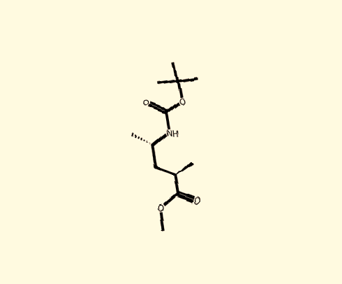 COC(=O)[C@H](C)C[C@H](C)NC(=O)OC(C)(C)C